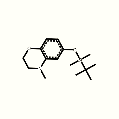 CN1CCOc2ccc(O[Si](C)(C)C(C)(C)C)cc21